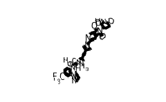 CC(C)(C(=O)Nc1ccc(C(F)(F)F)cc1-n1cccn1)n1cc(C#CC2CN(c3cc4c(cn3)C(=O)N(C3CCC(=O)NC3=O)C4=O)C2)cn1